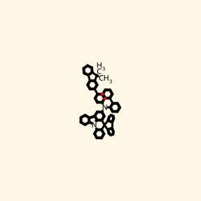 CC1(C)c2ccccc2-c2ccc(-c3ccc(N(c4cc5c6c(c4)c4ccccc4n6-c4ccccc4C54c5ccccc5-c5ccccc54)c4ccccc4-c4ccccc4)cc3)cc21